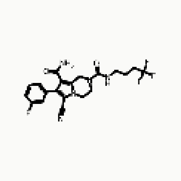 N#Cc1c(-c2cccc(F)c2)c(C(N)=O)c2n1CCN(C(=O)NCCCC(F)(F)F)C2